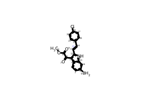 Bc1ccc2c(C(=O)C(=O)OC)c(/C=C/c3ccc(Cl)cc3)[nH]c2c1